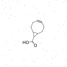 O=C(O)C1C2CCC#CCCC21